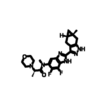 C[C@@H](C(=O)N(C)c1cc2nc(-c3n[nH]c4c3C[C@@H]3C[C@]3(C)C4)[nH]c2c(F)c1F)N1CCOCC1